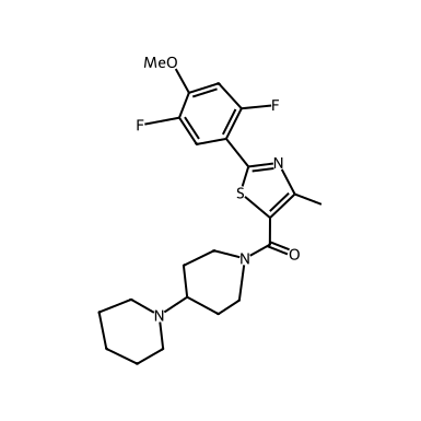 COc1cc(F)c(-c2nc(C)c(C(=O)N3CCC(N4CCCCC4)CC3)s2)cc1F